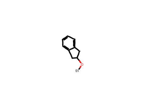 CCOC1[C]c2ccccc2C1